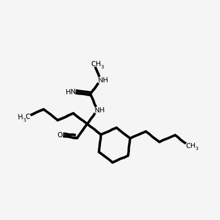 CCCCC1CCCC(C(C=O)(CCCC)NC(=N)NC)C1